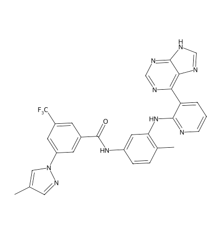 Cc1cnn(-c2cc(C(=O)Nc3ccc(C)c(Nc4ncccc4-c4ncnc5[nH]cnc45)c3)cc(C(F)(F)F)c2)c1